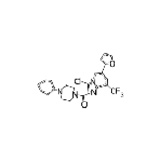 O=C(c1nc2c(C(F)(F)F)cc(-c3ccco3)cn2c1Cl)N1CCN(c2ccccc2)CC1